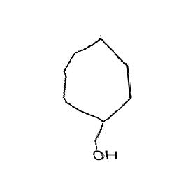 OC1CC[CH]CC1